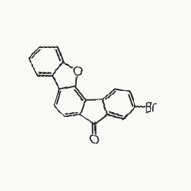 O=C1c2cc(Br)ccc2-c2c1ccc1c2oc2ccccc21